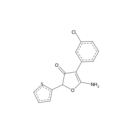 NC1=C(c2cccc(Cl)c2)C(=O)C(c2cccs2)O1